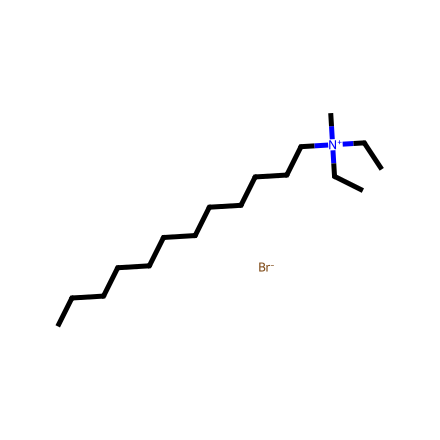 CCCCCCCCCCCC[N+](C)(CC)CC.[Br-]